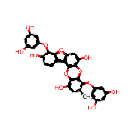 Cc1cc(O)c2c(c1Oc1cc(O)cc(O)c1)Oc1c(O)cc3oc4c(Oc5cc(O)cc(O)c5)c(O)ccc4c3c1O2